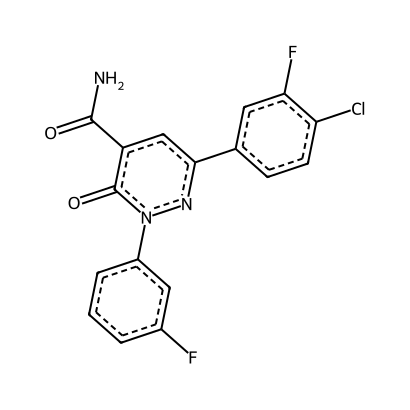 NC(=O)c1cc(-c2ccc(Cl)c(F)c2)nn(-c2cccc(F)c2)c1=O